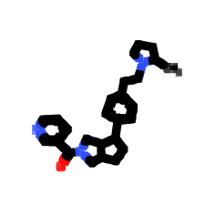 CC1CCCN1CCc1ccc(C2CCC3CN(C(=O)c4cccnc4)CC32)cc1